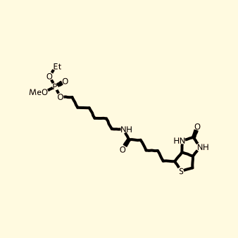 CCOP(=O)(OC)OCCCCCCNC(=O)CCCCC1SCC2NC(=O)NC21